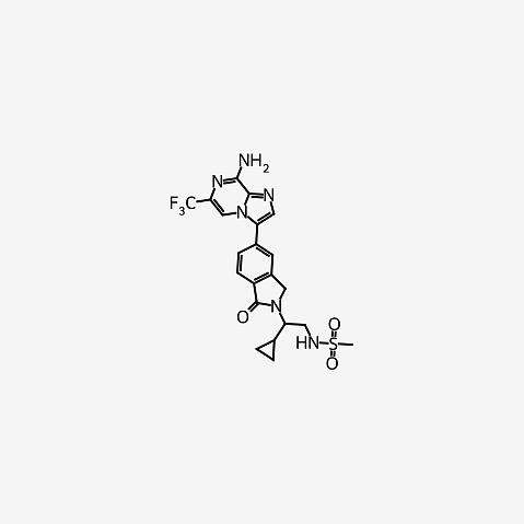 CS(=O)(=O)NCC(C1CC1)N1Cc2cc(-c3cnc4c(N)nc(C(F)(F)F)cn34)ccc2C1=O